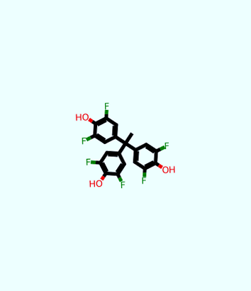 CC(c1cc(F)c(O)c(F)c1)(c1cc(F)c(O)c(F)c1)c1cc(F)c(O)c(F)c1